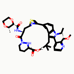 CCn1c(-c2cccnc2[C@H](C)OC)c2c3cc(ccc31)-c1csc(n1)C[C@H](NC(=O)[C@H]1OCCO[C@H]1C)C(=O)N1CCC[C@H](N1)C(=O)OCC(C)(C)C2